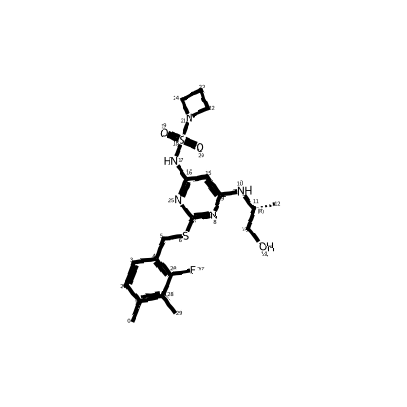 Cc1ccc(CSc2nc(N[C@H](C)CO)cc(NS(=O)(=O)N3CCC3)n2)c(F)c1C